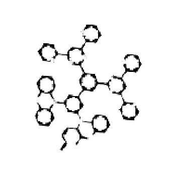 C=C/C=C\C1=C(C)Oc2ccccc2N1c1cc(-c2cc(-c3nc(-c4ccccn4)cc(-c4ccccn4)n3)cc(-c3nc(-c4ccccn4)cc(-c4ccccn4)n3)c2)cc(N2c3ccccc3Oc3ccccc32)c1